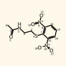 CC(=O)NCCSc1c([N+](=O)[O-])cccc1[N+](=O)[O-]